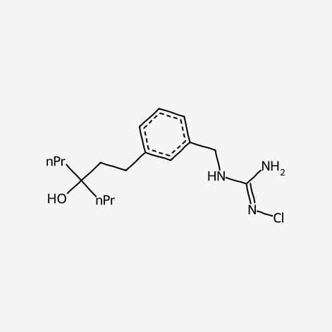 CCCC(O)(CCC)CCc1cccc(CN/C(N)=N/Cl)c1